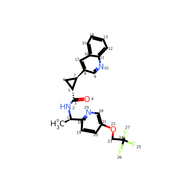 C[C@@H](NC(=O)[C@@H]1C[C@H]1c1cnc2ccccc2c1)c1ccc(OCC(F)(F)F)cn1